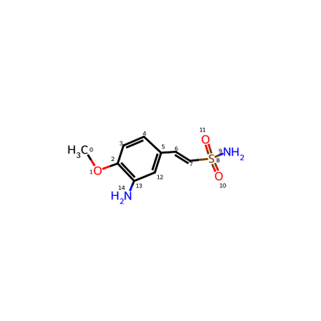 COc1ccc(C=CS(N)(=O)=O)cc1N